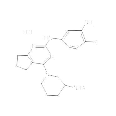 CC(=O)NC1CCCN(c2nc(Nc3ccc(Cl)c(N)c3)nc3c2CCC3)C1.Cl